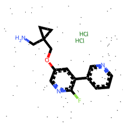 Cl.Cl.NCC1(COc2cnc(F)c(-c3cccnc3)c2)CC1